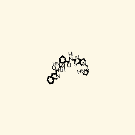 O=C(Nc1nc2c(C(=O)Nc3nc4c(s3)CN(C[C@@H]3CCCN3)CC4)cccc2[nH]1)c1cc2ccccc2cn1